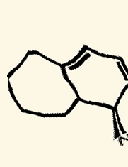 N=C1C=CC=C2CCCCC12